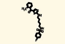 Cc1ccccc1C(=O)c1cnc(NCCCCCNS(=O)(=O)c2ccc(F)cc2)s1